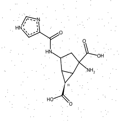 NC1(C(=O)O)CC(NC(=O)c2c[nH]cn2)C2C1[C@H]2C(=O)O